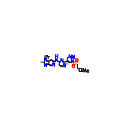 COCCS(=O)(=O)N/C=C(\C=N)c1nccc(Nc2cc3c(cn2)nc(C)n3C(C)C)n1